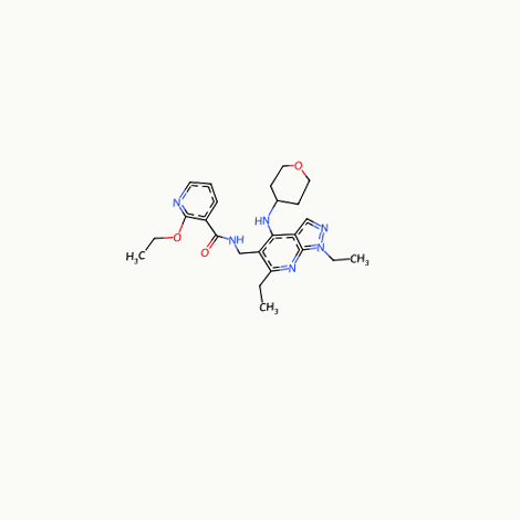 CCOc1ncccc1C(=O)NCc1c(CC)nc2c(cnn2CC)c1NC1CCOCC1